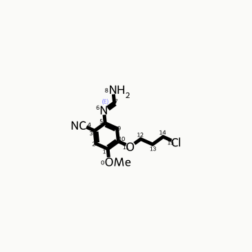 COc1cc(C#N)c(/N=C/N)cc1OCCCCl